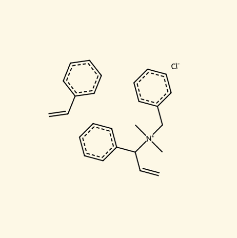 C=CC(c1ccccc1)[N+](C)(C)Cc1ccccc1.C=Cc1ccccc1.[Cl-]